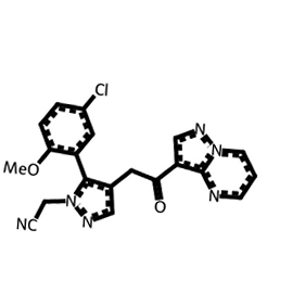 COc1ccc(Cl)cc1-c1c(CC(=O)c2cnn3cccnc23)cnn1CC#N